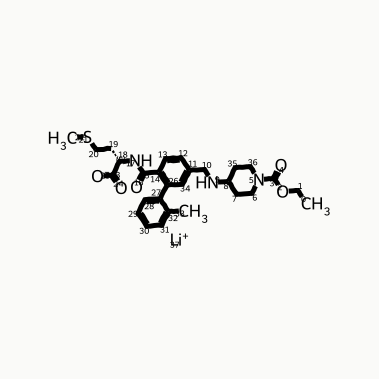 CCOC(=O)N1CCC(NCc2ccc(C(=O)N[C@@H](CCSC)C(=O)[O-])c(-c3ccccc3C)c2)CC1.[Li+]